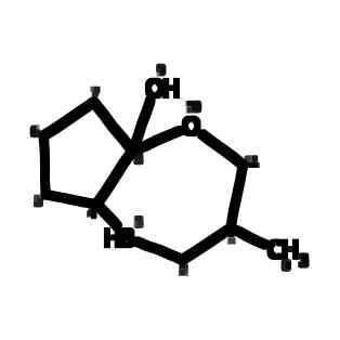 CC1CBC2CCCC2(O)OC1